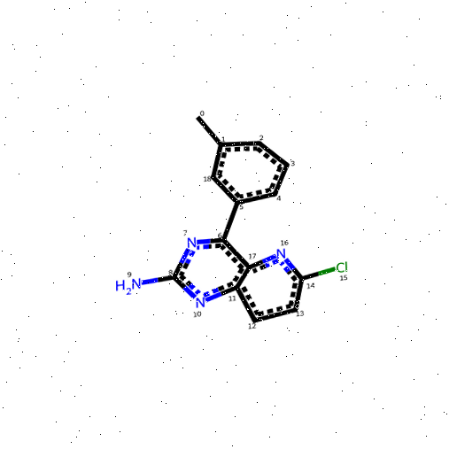 Cc1cccc(-c2nc(N)nc3ccc(Cl)nc23)c1